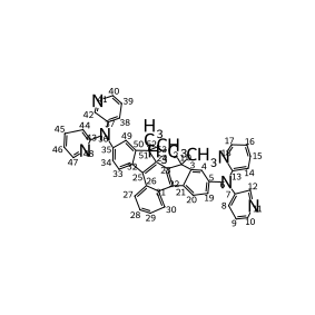 CC1(C)c2cc(N(c3cccnc3)c3ccccn3)ccc2-c2c1c1c(c3ccccc23)-c2ccc(N(c3cccnc3)c3ccccn3)cc2C1(C)C